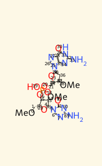 COC[C@H]1O[C@@H](n2cnc(N)nc2=O)C(OC)C1OP(=O)(O)OC[C@H]1O[C@@H](n2cnc3c(=O)[nH]c(N)nc32)C[C@H]1OC